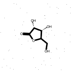 O=C1OC(CO)[C@@H](O)[C@H]1O